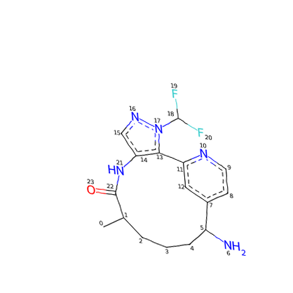 CC1CCCC(N)c2ccnc(c2)-c2c(cnn2C(F)F)NC1=O